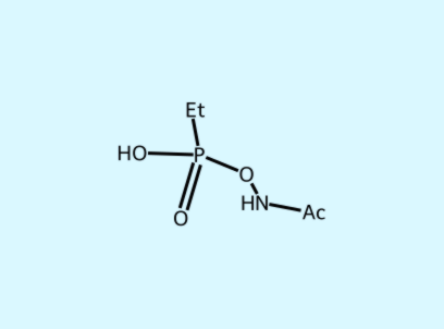 CCP(=O)(O)ONC(C)=O